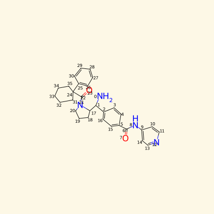 NC(c1ccc(C(=O)Nc2ccncc2)cc1)C1CCCN1C(=O)C1(c2ccccc2)CCCCC1